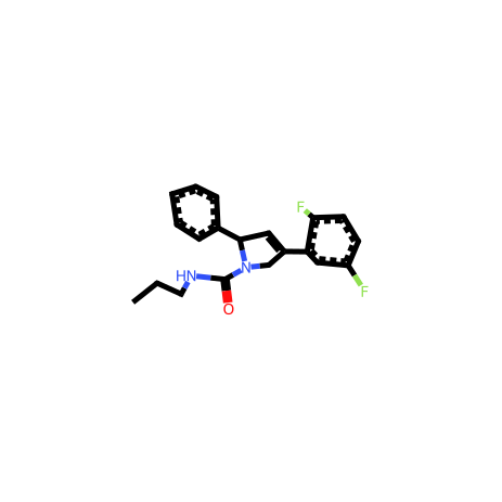 CCCNC(=O)N1CC(c2cc(F)ccc2F)=CC1c1ccccc1